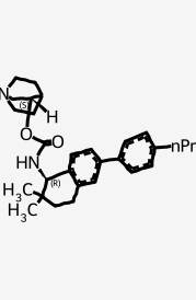 CCCc1ccc(-c2ccc3c(c2)CCC(C)(C)[C@H]3NC(=O)O[C@@H]2CN3CCC2CC3)cc1